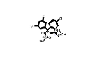 CC(C)(C)[S@+]([O-])N[C@](C/C(N)=N/O)(c1cc(F)cc(C(F)(F)F)c1)c1ccc(Cl)cn1